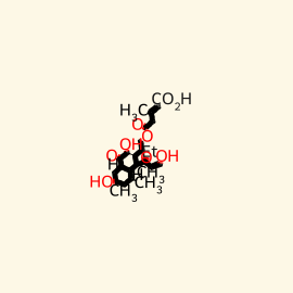 CC[C@@H](COC(=O)C/C(C)=C/C(=O)O)[C@H]1C(O)C(=O)[C@H]2C[C@](C)(O)C[C@@H](C)[C@@H]2[C@@]1(C)C(=O)/C=C\O